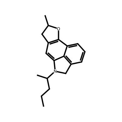 CCCC(C)N1Cc2cccc3c4c(cc1c23)CC(C)O4